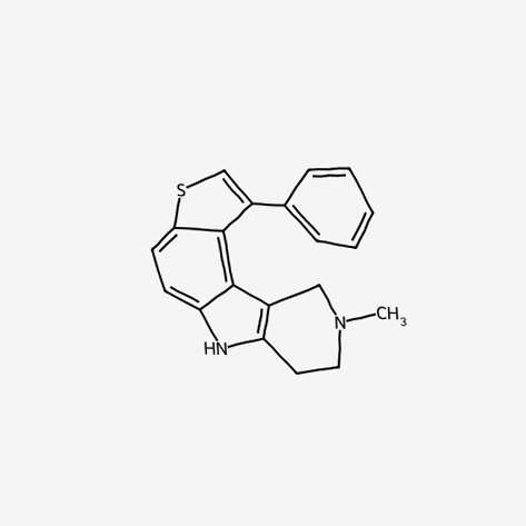 CN1CCc2[nH]c3ccc4scc(-c5ccccc5)c4c3c2C1